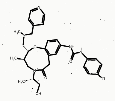 C[C@@H]1CN([C@@H](C)CO)C(=O)Cc2cc(NC(=O)Nc3ccc(Cl)cc3)ccc2O[C@H]1CN(C)Cc1ccncc1